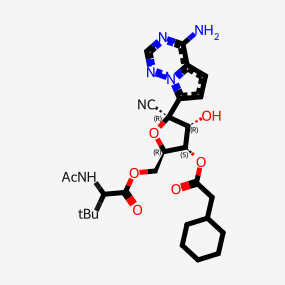 CC(=O)NC(C(=O)OC[C@H]1O[C@@](C#N)(c2ccc3c(N)ncnn23)[C@H](O)[C@@H]1OC(=O)CC1CCCCC1)C(C)(C)C